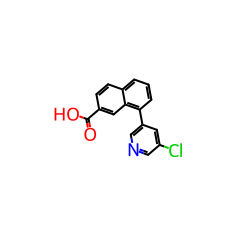 O=C(O)c1ccc2cccc(-c3cncc(Cl)c3)c2c1